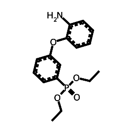 CCOP(=O)(OCC)c1cccc(Oc2ccccc2N)c1